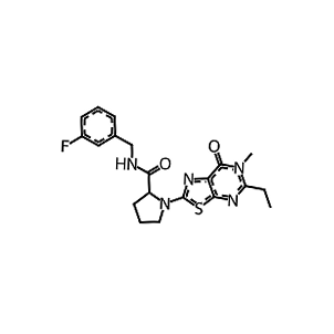 CCc1nc2sc(N3CCCC3C(=O)NCc3cccc(F)c3)nc2c(=O)n1C